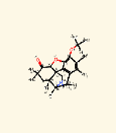 [2H]c1c([2H])c2c3c(c1OC([2H])([2H])[2H])OC1C(=O)C([2H])([2H])C[C@@]4([2H])[C@H](N(C)CC[C@]314)C2([2H])[2H]